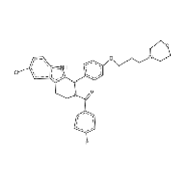 O=C(c1ccc(F)cc1)N1CCc2c([nH]c3ccc(Cl)cc23)C1c1ccc(OCCCN2CCOCC2)cc1